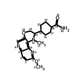 COc1ccc2ncc3c(c2n1)N(C)C(C1CCC(C(N)=O)CC1)CO3